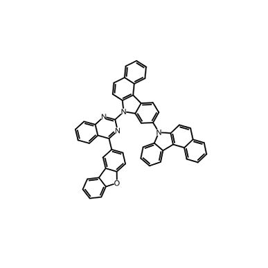 c1ccc2c(c1)ccc1c2c2ccccc2n1-c1ccc2c3c4ccccc4ccc3n(-c3nc(-c4ccc5oc6ccccc6c5c4)c4ccccc4n3)c2c1